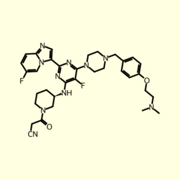 CN(C)CCOc1ccc(CN2CCN(c3nc(-c4cnc5ccc(F)cn45)nc(N[C@@H]4CCCN(C(=O)CC#N)C4)c3F)CC2)cc1